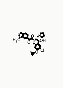 Cn1ncc2ccc(C(=O)C(=O)N[C@H](CN3CCCC3)[C@H](O)c3ccc(OC4CC4)c(Cl)c3)cc21